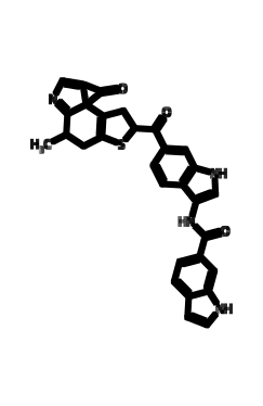 CC1CC2=C(CC(C(=O)c3ccc4c(NC(=O)c5ccc6cc[nH]c6c5)c[nH]c4c3)S2)C23C(=O)C2=CN=C13